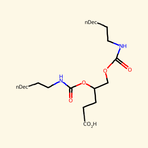 CCCCCCCCCCCCNC(=O)OCC(CCC(=O)O)OC(=O)NCCCCCCCCCCCC